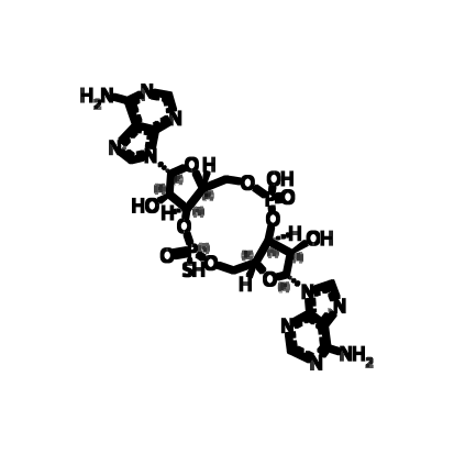 Nc1ncnc2c1ncn2[C@@H]1O[C@@H]2CO[P@](=O)(S)O[C@H]3[C@@H](O)[C@H](n4cnc5c(N)ncnc54)O[C@@H]3COP(=O)(O)O[C@H]2[C@H]1O